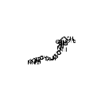 C[C@@]1(O)CCC=CCn2c(=O)c3cnc(Nc4ccc(N5CCN(CC6CC7(CCN(c8ccc9c(c8)C(=O)N([C@H]8CCC(=O)NC8=O)C9)CC7)C6)CC5)cc4)nc3n2-c2cccc1n2